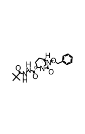 CC(C)(C)C(=O)NNC(=O)[C@@H]1CC[C@@H]2CN1C(=O)N2OCc1ccccc1